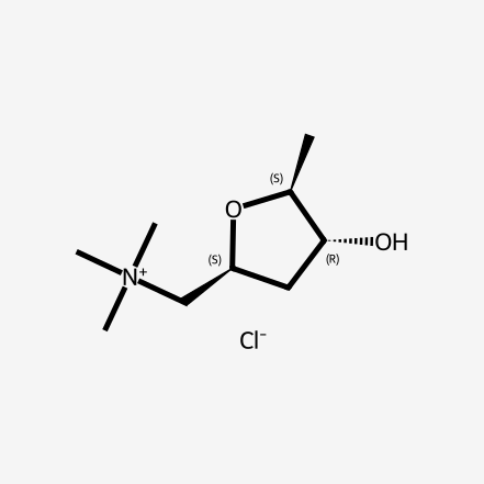 C[C@@H]1O[C@H](C[N+](C)(C)C)C[C@H]1O.[Cl-]